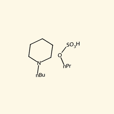 CCCCN1CCCCC1.CCCOS(=O)(=O)O